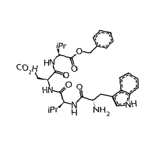 CC(C)[C@H](NC(=O)[C@@H](N)Cc1c[nH]c2ccccc12)C(=O)N[C@@H](CC(=O)O)C(=O)N[C@H](C(=O)OCc1ccccc1)C(C)C